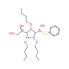 CCCCOC1C([C@H](O)CO)[C@@H](OCCCC)C(OCCCC)C1[C@H](O)Sc1ccccc1